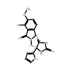 COc1ccc2c(c1F)C(=O)N(C[C@@]1(c3ccco3)NC(=O)NC1=O)C2